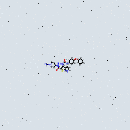 N#CN1CCC(NC(=O)c2sc3nccc4c3c2NC(=O)N4c2ccc(Oc3ccccc3)cc2)CC1